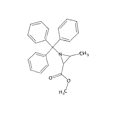 COC(=O)C1C(C)N1C(c1ccccc1)(c1ccccc1)c1ccccc1